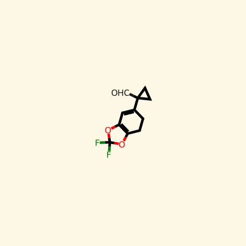 O=CC1(C2=CC3=C(CC2)OC(F)(F)O3)CC1